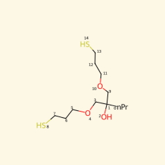 CCCC(O)(COCCCS)COCCCS